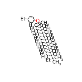 CCc1ccc(O[Si](C)(C)C(C)(C)C(C)(C)C(C)(C)C(C)(C)C(C)(C)C(C)(C)C(C)(C)C(C)(C)C(C)(C)C(C)(C)C(C)(C)CC)cc1